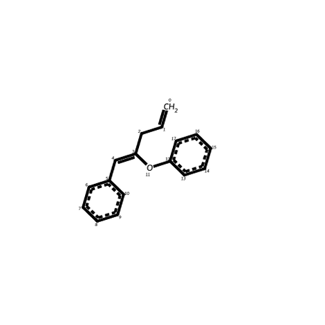 C=CCC(=Cc1ccccc1)Oc1ccccc1